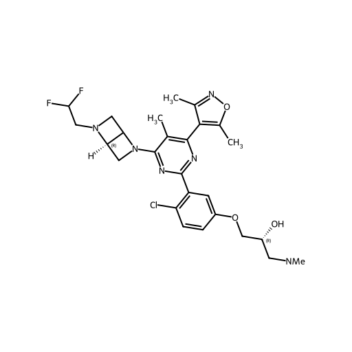 CNC[C@@H](O)COc1ccc(Cl)c(-c2nc(-c3c(C)noc3C)c(C)c(N3C[C@@H]4C3CN4CC(F)F)n2)c1